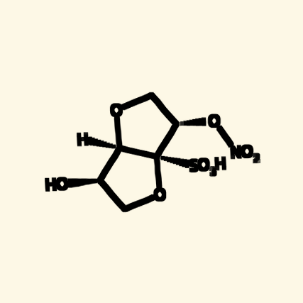 O=[N+]([O-])O[C@H]1CO[C@@H]2[C@H](O)CO[C@]12S(=O)(=O)O